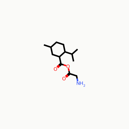 CC1CCC(C(C)C)C(C(=O)OC(=O)CN)C1